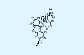 COc1ccc(C=C2CCCC(CN(C)C)C2(O)c2cccc(C)c2)cc1